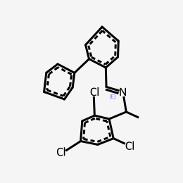 CC(/N=C/c1ccccc1-c1ccccc1)c1c(Cl)cc(Cl)cc1Cl